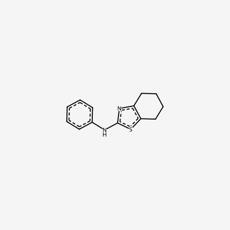 c1ccc(Nc2nc3c(s2)CCCC3)cc1